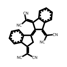 N#CC(C#N)=C1CC(=C2C(=C(C#N)C#N)c3ccccc3C2=C(C#N)C#N)c2ccccc21